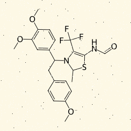 COc1ccc(CC(c2ccc(OC)c(OC)c2)N2C(C(F)(F)F)=C(NC=O)SC2C)cc1